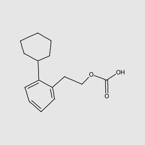 O=C(O)OCCc1ccccc1C1CCCCC1